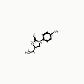 CCCc1ccc(N2C[C@@H](CO)OC2=O)cc1